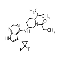 C=CC(=O)N1CC(Nc2ncnc3[nH]cc([C@@H]4CC4(F)F)c23)CCC1C(C)C